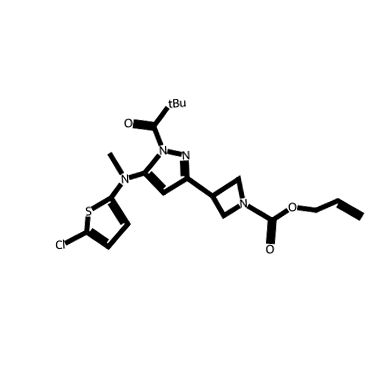 C=CCOC(=O)N1CC(c2cc(N(C)c3ccc(Cl)s3)n(C(=O)C(C)(C)C)n2)C1